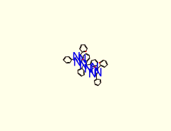 c1ccc(-c2nc(-c3ccccc3)nc(N3c4ccccc4N(c4nc(-c5ccccc5)nc(-c5ccccc5)n4)C3(c3ccccc3)c3ccccc3)n2)cc1